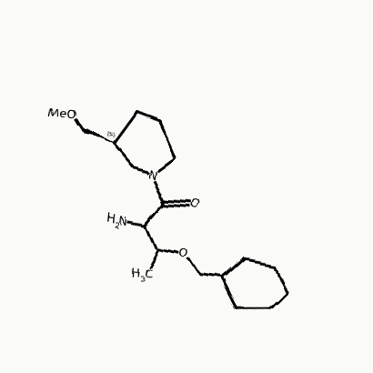 COC[C@H]1CCCN(C(=O)C(N)C(C)OCC2CCCCC2)C1